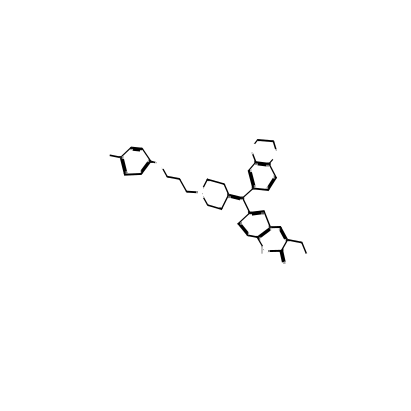 CCc1cc2cc(C(=C3CCN(CCCOc4ccc(F)cc4)CC3)c3ccc4c(c3)OCCO4)ccc2[nH]c1=O